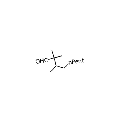 CCCCCCC(C)C(C)(C)C=O